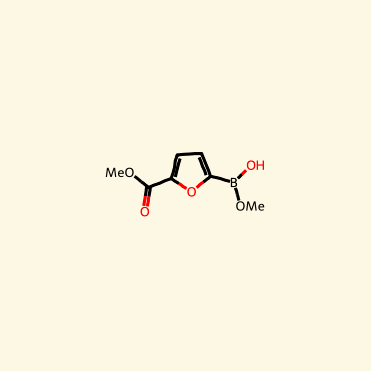 COB(O)c1ccc(C(=O)OC)o1